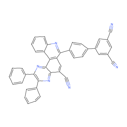 N#Cc1cc(C#N)cc(-c2ccc(-c3nc4ccccc4c4c3cc(C#N)c3nc(-c5ccccc5)c(-c5ccccc5)nc34)cc2)c1